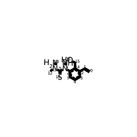 C=Cc1cccc(N(N)C(=S)N(C)N)c1CO